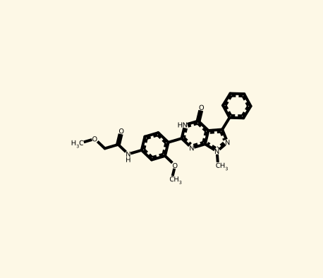 COCC(=O)Nc1ccc(-c2nc3c(c(-c4ccccc4)nn3C)c(=O)[nH]2)c(OC)c1